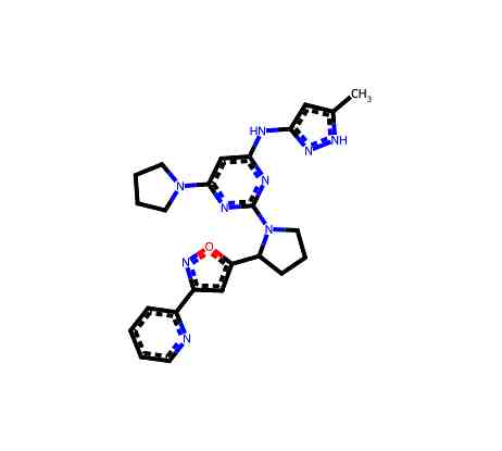 Cc1cc(Nc2cc(N3CCCC3)nc(N3CCCC3c3cc(-c4ccccn4)no3)n2)n[nH]1